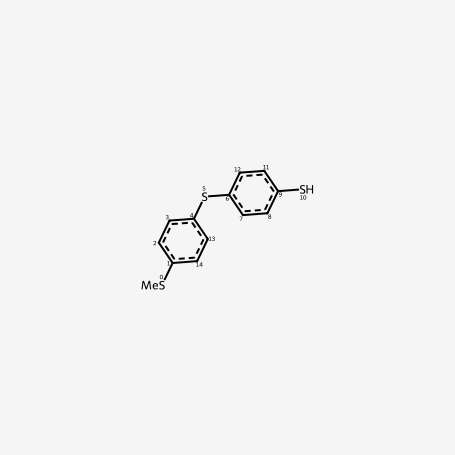 CSc1ccc(Sc2ccc(S)cc2)cc1